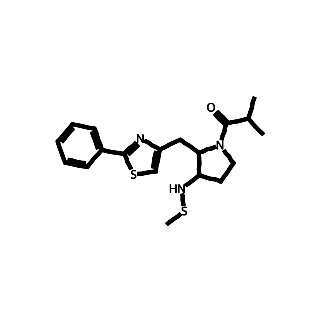 CSNC1CCN(C(=O)C(C)C)C1Cc1csc(-c2ccccc2)n1